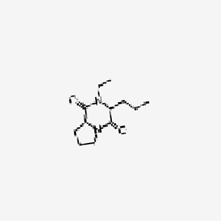 CCCC1C(=O)N2CCCC2C(=O)N1CC